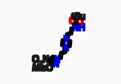 COc1nn(CCCN2CCN(CCCNC(=O)OC(C)(C)C)CC2)cc1[N+](=O)[O-]